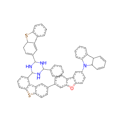 C1=CC2c3ccccc3N(c3ccc4oc5cc(-c6ccc7sc8cccc(C9NC(C%10=CCC%11Sc%12ccccc%12C%11=C%10)NC(c%10ccccc%10)N9)c8c7c6)ccc5c4c3)C2C=C1